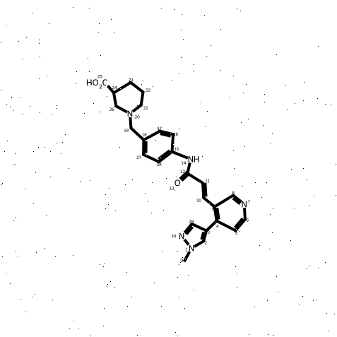 Cn1cc(-c2ccncc2C=CC(=O)Nc2ccc(CN3CCCC(C(=O)O)C3)cc2)cn1